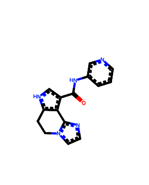 O=C(Nc1cccnc1)c1c[nH]c2c1-c1nccn1CC2